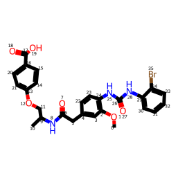 COc1cc(CC(=O)NC(C)COc2ccc(C(=O)O)cc2)ccc1NC(=O)Nc1ccccc1Br